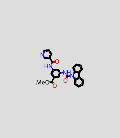 COC(=O)c1cc(NC(=O)c2cccnc2)cc(NC(=O)n2c3ccccc3c3ccccc32)c1